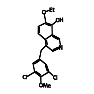 CCOc1ccc2c(Cc3cc(Cl)c(OC)c(Cl)c3)cncc2c1O